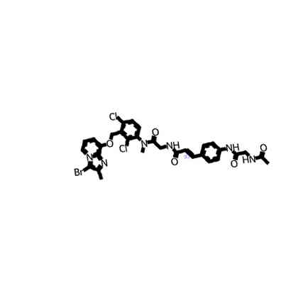 CC(=O)NCC(=O)Nc1ccc(/C=C/C(=O)NCC(=O)N(C)c2ccc(Cl)c(COc3cccn4c(Br)c(C)nc34)c2Cl)cc1